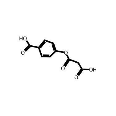 O=C(O)CC(=O)Oc1ccc(C(=O)O)cc1